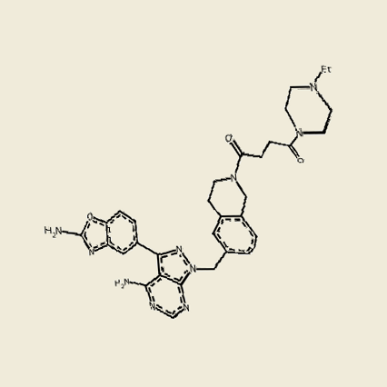 CCN1CCN(C(=O)CCC(=O)N2CCc3cc(Cn4nc(-c5ccc6oc(N)nc6c5)c5c(N)ncnc54)ccc3C2)CC1